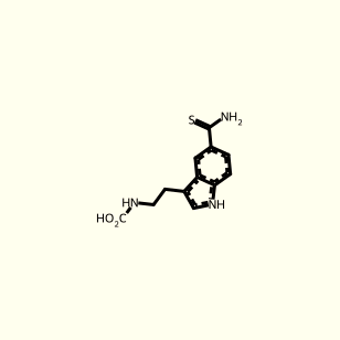 NC(=S)c1ccc2[nH]cc(CCNC(=O)O)c2c1